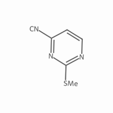 [C-]#[N+]c1ccnc(SC)n1